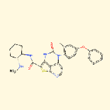 Cc1cc(Oc2ccccc2)ccc1N1C(=O)Nc2c(C(=O)N[C@@H]3CCCC[C@H]3NC(=O)O)sc3nccc1c23